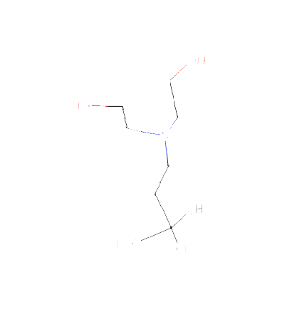 CC(C)(C)CCN(CCO)CCO